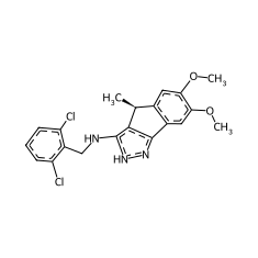 COc1cc2c(cc1OC)[C@H](C)c1c-2n[nH]c1NCc1c(Cl)cccc1Cl